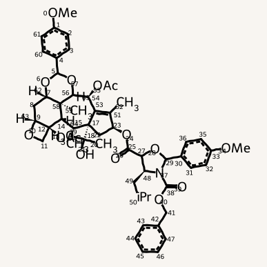 COc1ccc(C2O[C@H]3C[C@H]4OC[C@@]4(OC(C)=O)[C@H]4[C@H](C)[C@]5(C(C)(C)O)C[C@H](OC(=O)C6OC(c7ccc(OC)cc7)N(C(=O)OCc7ccccc7)[C@H]6CC(C)C)C(C)=C5[C@H](OC(C)=O)[C@H](O2)[C@]34C)cc1